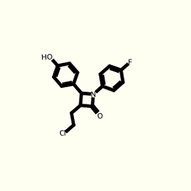 O=C1C(CCCl)C(c2ccc(O)cc2)N1c1ccc(F)cc1